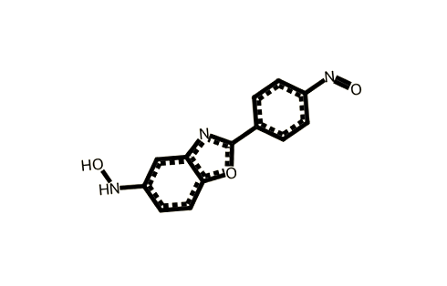 O=Nc1ccc(-c2nc3cc(NO)ccc3o2)cc1